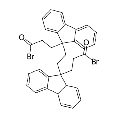 O=C(Br)CCC1(CCC2(CCC(=O)Br)c3ccccc3C3C=CC=CC32)c2ccccc2-c2ccccc21